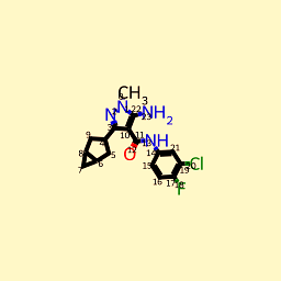 Cn1nc(C2CC3CC3C2)c(C(=O)Nc2ccc(F)c(Cl)c2)c1N